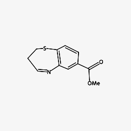 COC(=O)c1ccc2c(c1)N=CCCS2